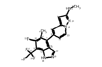 CNc1cc2cc(-c3c(C)c(F)c(C(F)(F)F)c4[nH]ncc34)ccn2n1